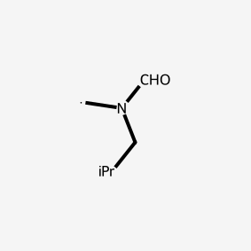 [CH2]N(C=O)CC(C)C